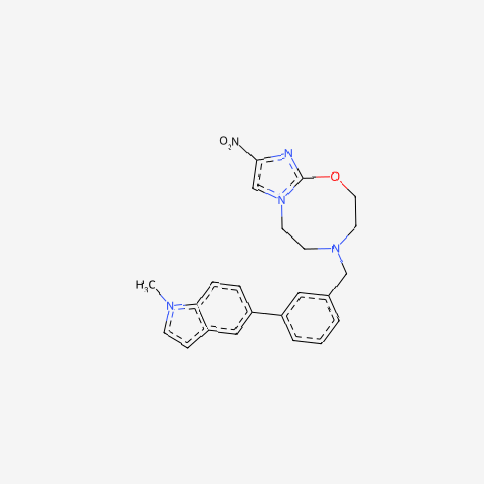 Cn1ccc2cc(-c3cccc(CN4CCOc5nc([N+](=O)[O-])cn5CC4)c3)ccc21